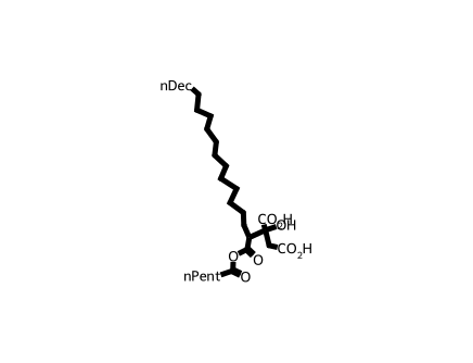 CCCCCCCCCCCCCCCCCCCCCCC(C(=O)OC(=O)CCCCC)C(O)(CC(=O)O)C(=O)O